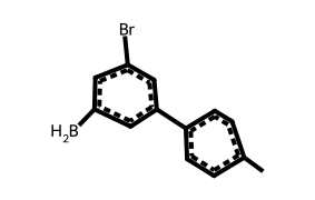 Bc1cc(Br)cc(-c2ccc(C)cc2)c1